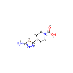 Nc1nnc(C2CCN(C(=O)O)CC2)s1